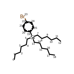 CCCCCC[Si](CCCCCC)(CCCCCC)c1ccc(Br)cc1